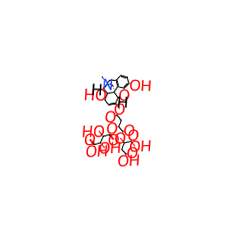 CN1CC[C@]23c4c5ccc(O)c4O[C@H]2C(OC(=O)CC(OC(=O)[C@H](O)[C@@H](O)C(=O)O)C(=O)OC(CC(=O)O)C(=O)O)=CC[C@@]3(O)[C@H]1C5